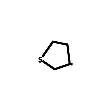 [C]1CCSC1